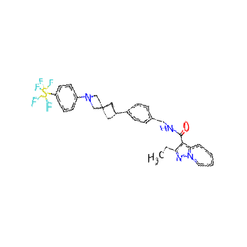 CCc1nn2ccccc2c1C(=O)NCc1ccc(C2CC3(C2)CN(c2ccc(S(F)(F)(F)(F)F)cc2)C3)cc1